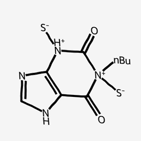 CCCC[N+]1([S-])C(=O)c2[nH]cnc2[NH+]([S-])C1=O